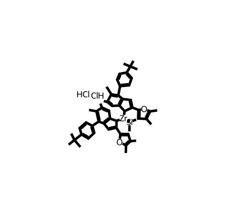 Cc1cc(C2=Cc3c(cc(C)c(C)c3-c3ccc(C(C)(C)C)cc3)[CH]2[Zr]([CH]2C(c3cc(C)c(C)o3)=Cc3c2cc(C)c(C)c3-c2ccc(C(C)(C)C)cc2)=[Si](C)C)oc1C.Cl.Cl